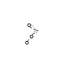 COC(=O)C(CCn1nnc2ccccc2c1=O)S(=O)(=O)CCc1ccc(OCc2ccccc2)cc1